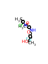 Cc1ccc(N(C)C(=O)c2ccc(NC(=O)Cc3ccc(C(F)(F)[C@H](C)O)cc3)cc2)c(Cl)c1